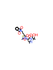 CC(=O)S[C@@H](CCCN1C(=O)c2ccccc2C1=O)C(=O)N[C@@H](CC(C)C)C(=O)NC(C(=O)O)C(C)(C)C